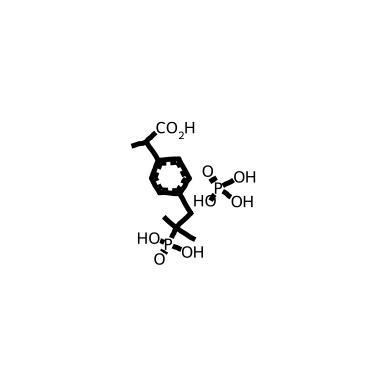 CC(C(=O)O)c1ccc(CC(C)(C)P(=O)(O)O)cc1.O=P(O)(O)O